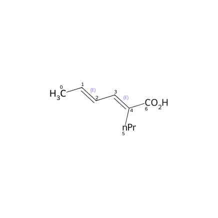 C/C=C/C=C(\CCC)C(=O)O